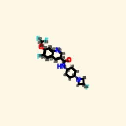 O=C(N[C@H]1CC[C@@H](N2CC(F)C2)CC1)c1cnc2cc(OC(F)F)c(F)cc2c1